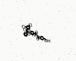 O=C(NCC(=O)N1CCC(CO)CC1)c1ccc(S(=O)(=O)N(C(=O)c2ccc(Cl)cc2Cl)c2ccccc2)cc1